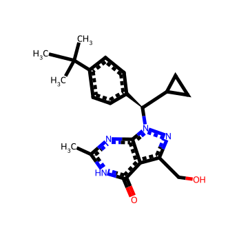 Cc1nc2c(c(CO)nn2[C@@H](c2ccc(C(C)(C)C)cc2)C2CC2)c(=O)[nH]1